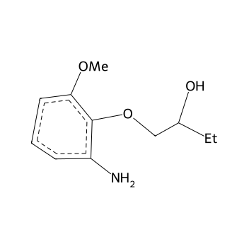 CCC(O)COc1c(N)cccc1OC